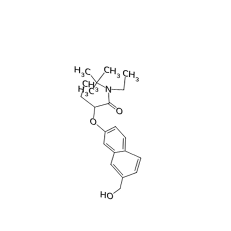 CCC(Oc1ccc2ccc(CO)cc2c1)C(=O)N(CC)C(C)(C)C